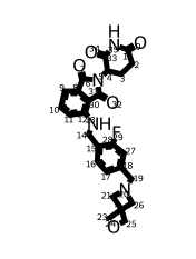 O=C1CCC(N2C(=O)c3cccc(NCc4ccc(CN5CC6(COC6)C5)cc4F)c3C2=O)C(=O)N1